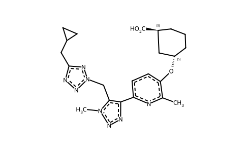 Cc1nc(-c2nnn(C)c2Cn2nnc(CC3CC3)n2)ccc1O[C@H]1CCC[C@H](C(=O)O)C1